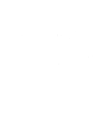 OB(O)c1cc(C(F)(F)F)cc(C(F)(F)F)c1.c1ccc(P(c2ccccc2)c2ccccc2)cc1